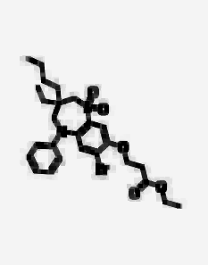 CCCCC1(CC)CN(c2ccccc2)c2cc(Br)c(OCCC(=O)OCC)cc2S(=O)(=O)C1